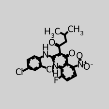 CC(C)CC(=O)c1c(Nc2ccc(Cl)cc2Cl)[nH]c2c(F)ccc([N+](=O)[O-])c2c1=O